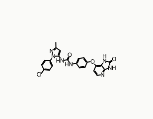 Cc1cc(NC(=O)Nc2ccc(Oc3ccnc4[nH]c(=O)[nH]c34)cc2)n(-c2ccc(Cl)cc2)n1